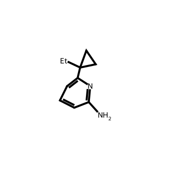 CCC1(c2cccc(N)n2)CC1